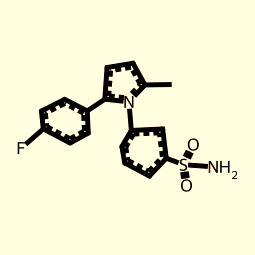 Cc1ccc(-c2ccc(F)cc2)n1-c1cccc(S(N)(=O)=O)c1